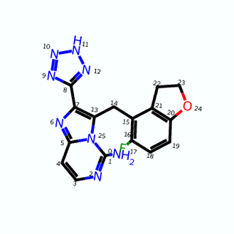 Nc1nccc2nc(-c3nn[nH]n3)c(Cc3c(F)ccc4c3CCO4)n12